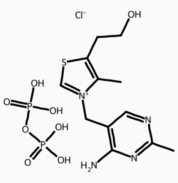 Cc1ncc(C[n+]2csc(CCO)c2C)c(N)n1.O=P(O)(O)OP(=O)(O)O.[Cl-]